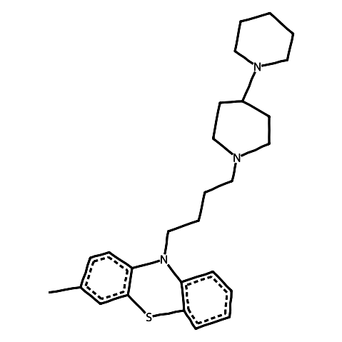 Cc1ccc2c(c1)Sc1ccccc1N2CCCCN1CCC(N2CCCCC2)CC1